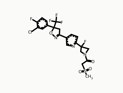 CS(=O)(=O)CC(=O)N1CC(F)(c2ccc(C3=NOC(c4ccc(F)c(Cl)c4)(C(F)(F)F)C3)cn2)C1